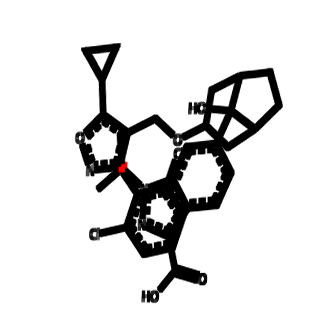 CC(C)n1nc(C(=O)O)c2ccc(C3(O)C4CCC3CC(OCc3c(-c5c(Cl)cccc5Cl)noc3C3CC3)C4)cc21